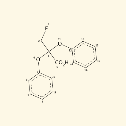 O=C(O)C(CF)(Oc1ccccc1)Oc1ccccc1